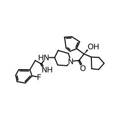 N=C(Cc1ccccc1F)NC1CCN(C(=O)[C@](O)(c2ccccc2)C2CCCC2)CC1